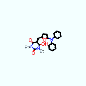 CCN1C(=O)/C(=C/c2ccc(N(c3ccccc3)c3ccccc3)o2)C(O)N(CC)C1=O